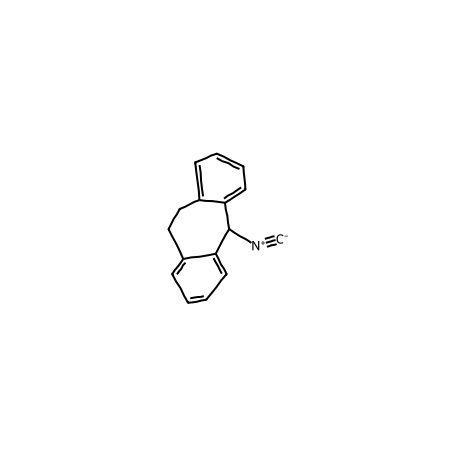 [C-]#[N+]C1c2ccccc2CCc2ccccc21